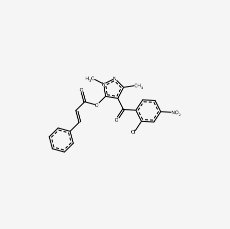 Cc1nn(C)c(OC(=O)C=Cc2ccccc2)c1C(=O)c1ccc([N+](=O)[O-])cc1Cl